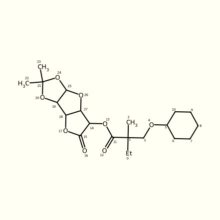 CCC(C)(COC1CCCCC1)C(=O)OC1C(=O)OC2C3OC(C)(C)OC3OC12